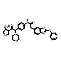 CN(C(=O)Cc1ccc2nc(Nc3cccnc3)oc2c1)c1ccc(C(C(=O)C2CNCC2C(=O)O)N2CCOCC2)cc1